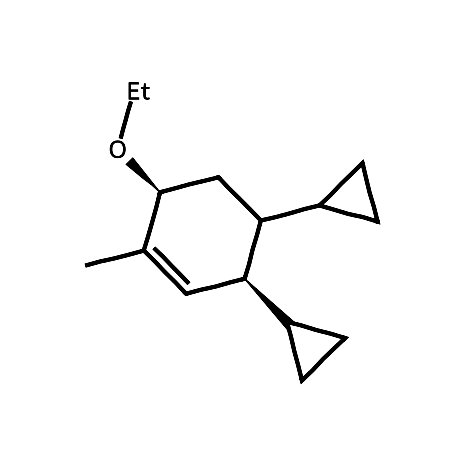 CCO[C@H]1CC(C2CC2)[C@@H](C2CC2)C=C1C